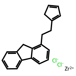 C1=CCC(CCc2cccc3c2Cc2ccccc2-3)=C1.[Cl-].[Cl-].[Zr+2]